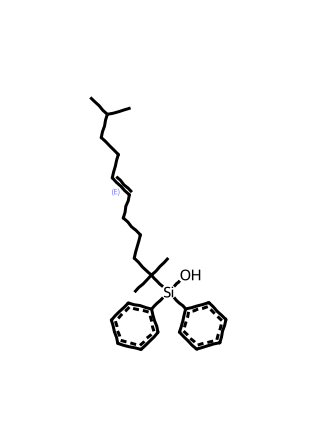 CC(C)CC/C=C/CCCC(C)(C)[Si](O)(c1ccccc1)c1ccccc1